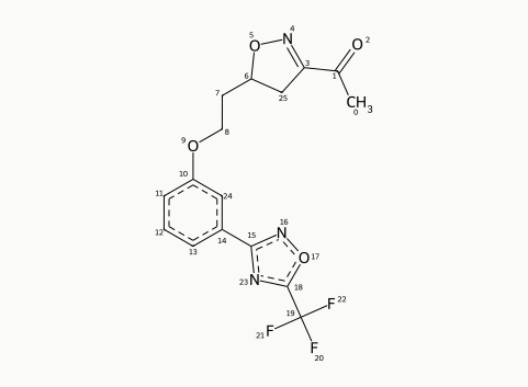 CC(=O)C1=NOC(CCOc2cccc(-c3noc(C(F)(F)F)n3)c2)C1